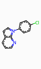 Clc1ccc(-n2ccc3cccnc32)cc1